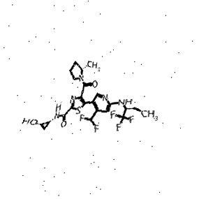 CC[C@H](Nc1cc(C(F)F)c(-c2sc(C(=O)N[C@@H]3C[C@@H]3O)nc2C(=O)N2CCC[C@@H]2C)cn1)C(F)(F)F